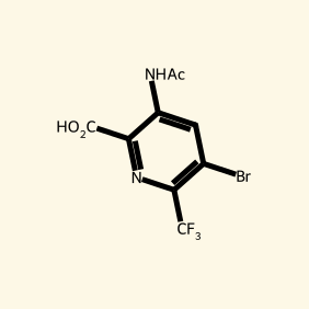 CC(=O)Nc1cc(Br)c(C(F)(F)F)nc1C(=O)O